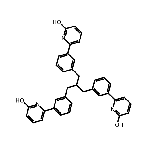 Oc1cccc(-c2cccc(CC(Cc3cccc(-c4cccc(O)n4)c3)Cc3cccc(-c4cccc(O)n4)c3)c2)n1